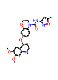 COc1cc2nccc(Oc3ccc4c(c3)OCCN4C(=O)Nc3cc(C)on3)c2cc1OC